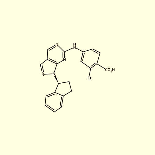 CCc1cc(Nc2ncc3cnn([C@H]4CCc5ccccc54)c3n2)ccc1C(=O)O